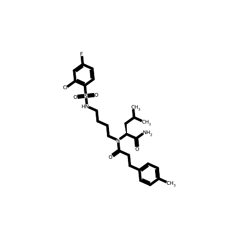 Cc1ccc(CCC(=O)N(CCCCNS(=O)(=O)c2ccc(F)cc2Cl)[C@@H](CC(C)C)C(N)=O)cc1